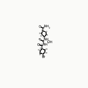 Cl.NC(=O)c1ccc(NC(=S)NC(=O)c2ccc(Br)cc2)cc1